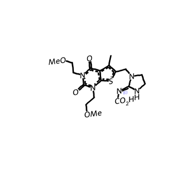 COCCn1c(=O)c2c(C)c(CN3CCN/C3=N\C(=O)O)sc2n(CCOC)c1=O